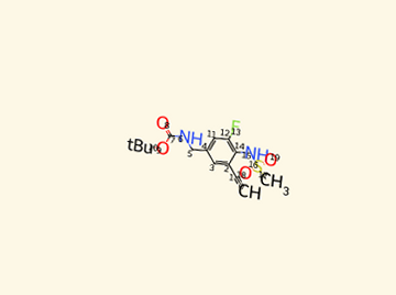 C#Cc1cc(CNC(=O)OC(C)(C)C)cc(F)c1NS(C)(=O)=O